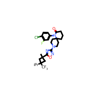 CC(C)C1(C(F)(F)F)CC(C)(c2nc(N3CCC4(CCCC(=O)N4c4ccc(Cl)c(F)c4)CC3)no2)C1